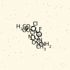 Cc1cc(C2(c3ccc(F)c(-c4cc(Cl)cc(OS(C)(=O)=O)c4)c3)N=C(N)N(C)C2=O)ccn1